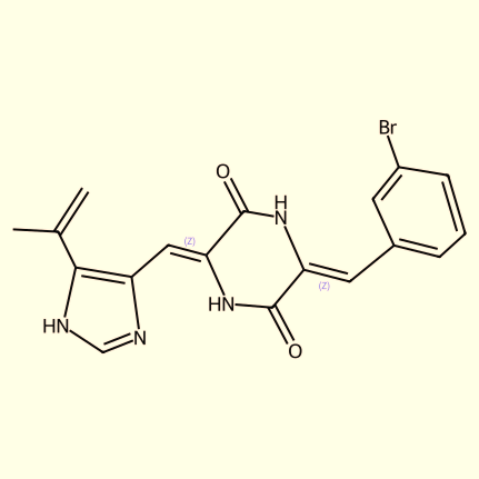 C=C(C)c1[nH]cnc1/C=c1\[nH]c(=O)/c(=C/c2cccc(Br)c2)[nH]c1=O